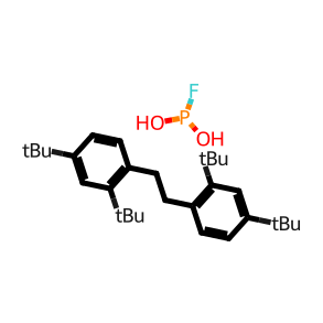 CC(C)(C)c1ccc(CCc2ccc(C(C)(C)C)cc2C(C)(C)C)c(C(C)(C)C)c1.OP(O)F